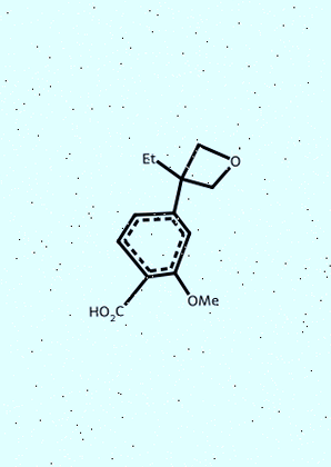 CCC1(c2ccc(C(=O)O)c(OC)c2)COC1